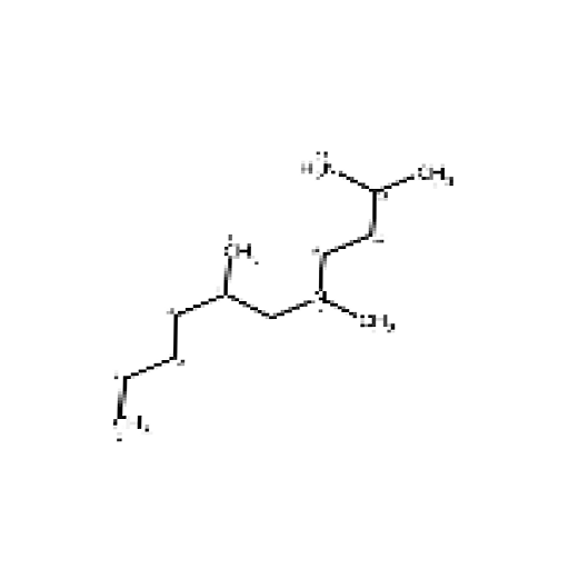 CCCCC(C)CN(C)CCC(C)N